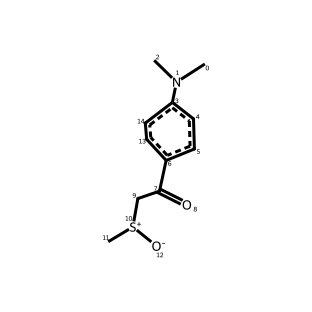 CN(C)c1ccc(C(=O)C[S+](C)[O-])cc1